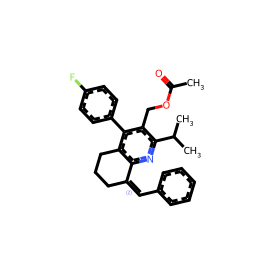 CC(=O)OCc1c(C(C)C)nc2c(c1-c1ccc(F)cc1)CCC/C2=C/c1ccccc1